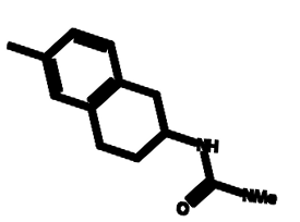 CNC(=O)NC1CCc2cc(C)ccc2C1